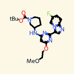 COCCOc1cc(NC2CCCN(C(=O)OC(C)(C)C)C2)nc(-c2cnc3ccc(F)cn23)n1